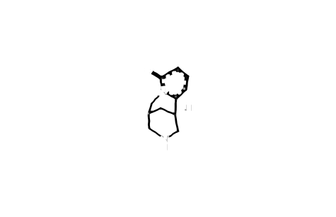 O=c1cccc2n1CC1CNC[C@H]2C1